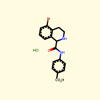 Cl.O=C(O)c1ccc(NC(=O)C2NCCc3c(Br)cccc32)cc1